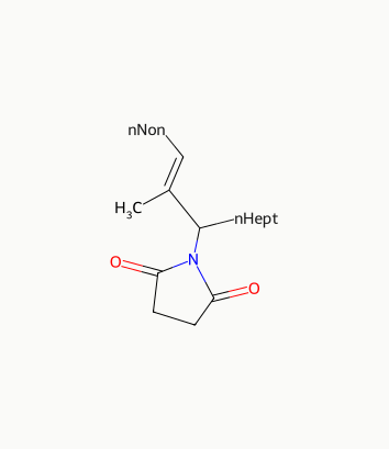 CCCCCCCCC/C=C(\C)C(CCCCCCC)N1C(=O)CCC1=O